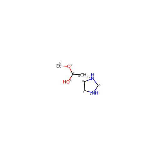 C1CNCN1.CCOC(C)O